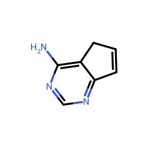 Nc1ncnc2c1CC=C2